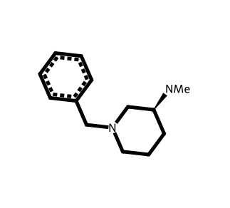 CN[C@H]1CCCN(Cc2ccccc2)C1